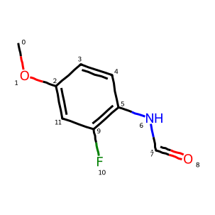 COc1ccc(N[C]=O)c(F)c1